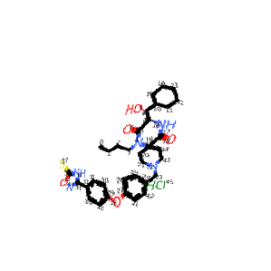 CCCCN1C(=O)[C@@H]([C@H](O)C2CCCCC2)NC(=O)C12CCN(Cc1ccc(Oc3ccc(-c4noc(=S)[nH]4)cc3)cc1)CC2.Cl